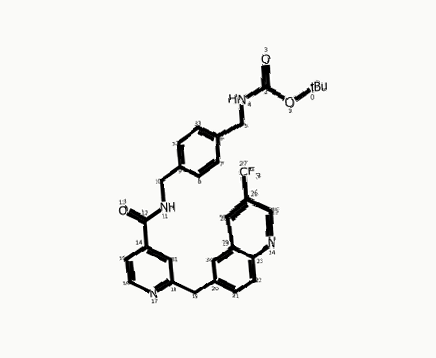 CC(C)(C)OC(=O)NCc1ccc(CNC(=O)c2ccnc(Cc3ccc4ncc(C(F)(F)F)cc4c3)c2)cc1